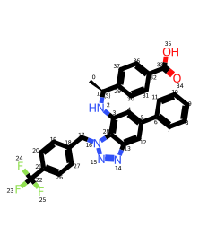 C[C@H](Nc1cc(-c2ccccc2)cc2nnn(Cc3ccc(C(F)(F)F)cc3)c12)c1ccc(C(=O)O)cc1